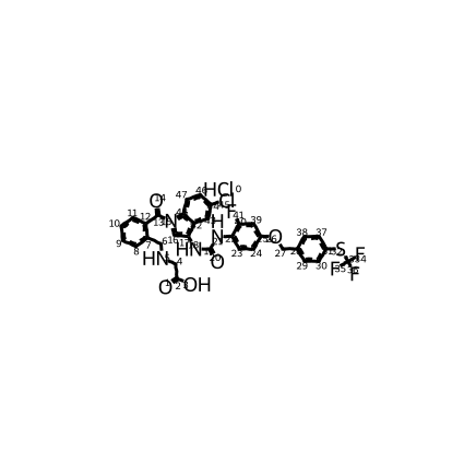 Cl.O=C(O)CNCc1ccccc1C(=O)n1cc(NC(=O)Nc2ccc(OCc3ccc(SC(F)(F)F)cc3)cc2F)c2cc(Cl)ccc21